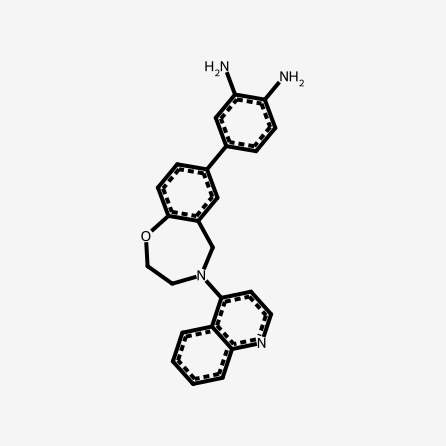 Nc1ccc(-c2ccc3c(c2)CN(c2ccnc4ccccc24)CCO3)cc1N